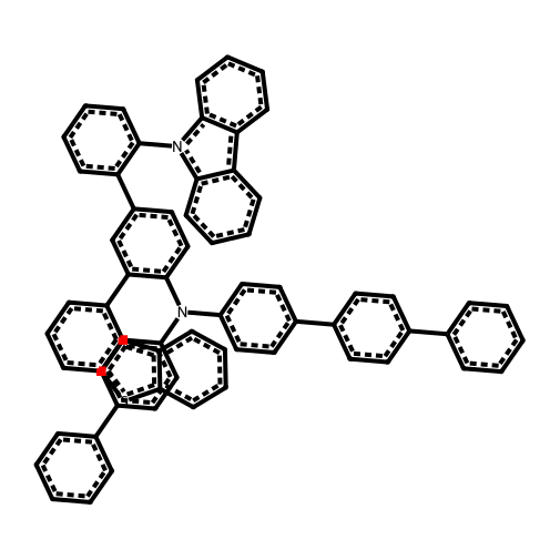 c1ccc(-c2ccc(-c3ccc(N(c4ccc(-c5ccccc5)cc4)c4ccc(-c5ccccc5-n5c6ccccc6c6ccccc65)cc4-c4cccc5sc6ccccc6c45)cc3)cc2)cc1